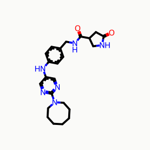 O=C1CC(C(=O)NCc2ccc(Nc3cnc(N4CCCCCCC4)nc3)cc2)CN1